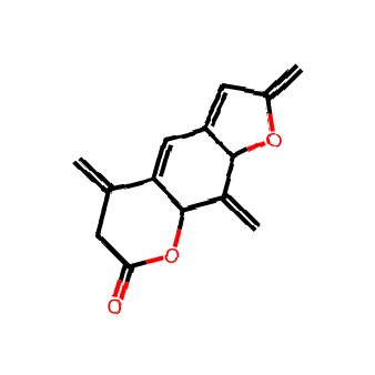 C=C1C=C2C=C3C(=C)CC(=O)OC3C(=C)C2O1